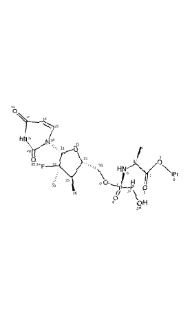 CC(C)OC(=O)[C@H](C)N[P@@](=O)(OC[C@H]1O[C@@H](n2ccc(=O)[nH]c2=O)[C@](C)(F)[C@@H]1C)PO